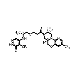 C[C@@H](COCCC(=O)N1C[C@@H]2COc3cc(C(F)(F)F)cnc3N2C[C@@H]1C)Nc1cn[nH]c(=O)c1C(F)(F)F